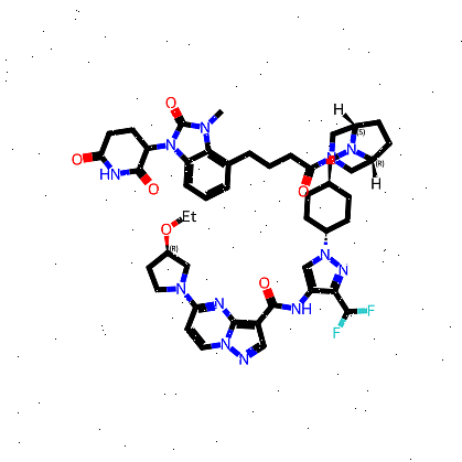 CCO[C@@H]1CCN(c2ccn3ncc(C(=O)Nc4cn([C@H]5CC[C@H](CN6[C@@H]7CC[C@H]6CN(C(=O)CCCc6cccc8c6n(C)c(=O)n8C6CCC(=O)NC6=O)C7)CC5)nc4C(F)F)c3n2)C1